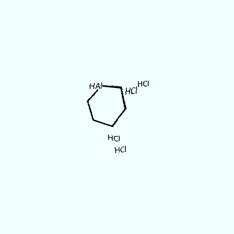 C1C[CH2][AlH][CH2]C1.Cl.Cl.Cl.Cl